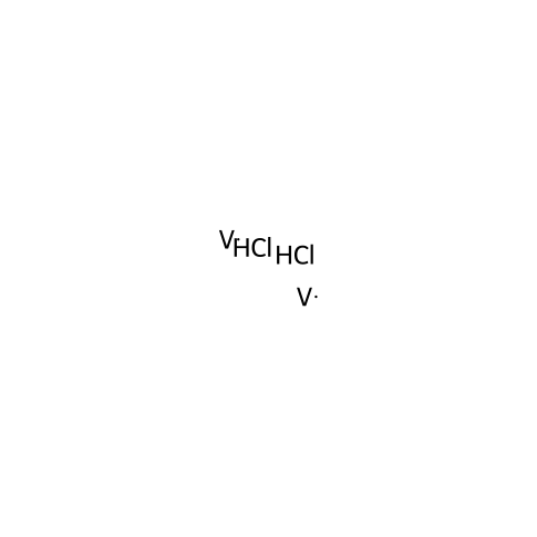 Cl.Cl.[V].[V]